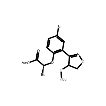 CCCCOC1CON=C1c1cc(Br)ccc1O[C@@H](CC)C(=O)OC